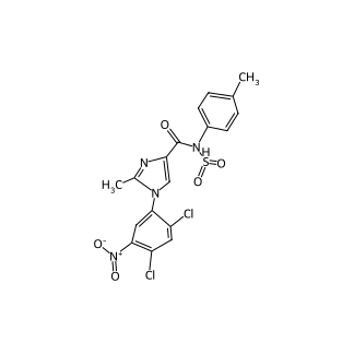 Cc1ccc(N(C(=O)c2cn(-c3cc([N+](=O)[O-])c(Cl)cc3Cl)c(C)n2)[SH](=O)=O)cc1